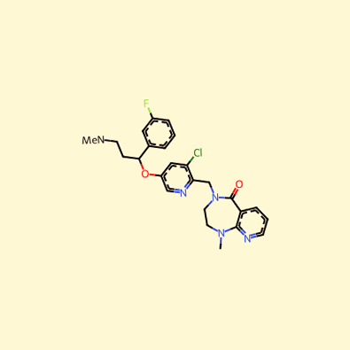 CNCCC(Oc1cnc(CN2CCN(C)c3ncccc3C2=O)c(Cl)c1)c1cccc(F)c1